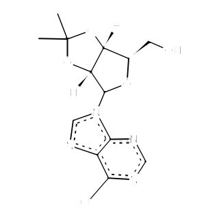 CC1(C)O[C@@H]2[C@@H](CO)OC(n3cnc4c(Cl)ncnc43)[C@@H]2O1